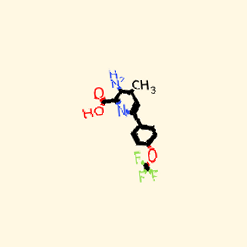 Cc1cc(-c2ccc(OC(F)(F)F)cc2)nc(C(=O)O)c1N